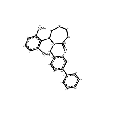 COc1cccc(OC)c1C1CCCCC(=O)N1Cc1ccc(-c2ccccc2)cc1